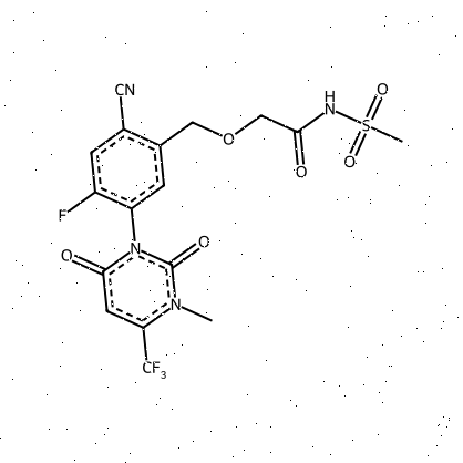 Cn1c(C(F)(F)F)cc(=O)n(-c2cc(COCC(=O)NS(C)(=O)=O)c(C#N)cc2F)c1=O